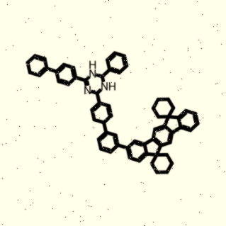 C1=CC(c2ccc(C3=NC(C4=CCC(c5cccc(-c6ccc7c(c6)-c6cc8c(cc6C76CCCCC6)-c6ccccc6C86CCCCC6)c5)C=C4)NC(c4ccccc4)N3)cc2)=CCC1